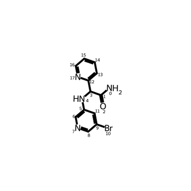 NC(=O)C(Nc1cncc(Br)c1)c1ccccn1